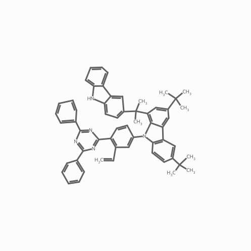 C=Cc1cc(-n2c3ccc(C(C)(C)C)cc3c3cc(C(C)(C)C)cc(C(C)(C)c4ccc5[nH]c6ccccc6c5c4)c32)ccc1-c1nc(-c2ccccc2)nc(-c2ccccc2)n1